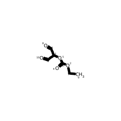 CCOC(=O)OC(C=O)C=O